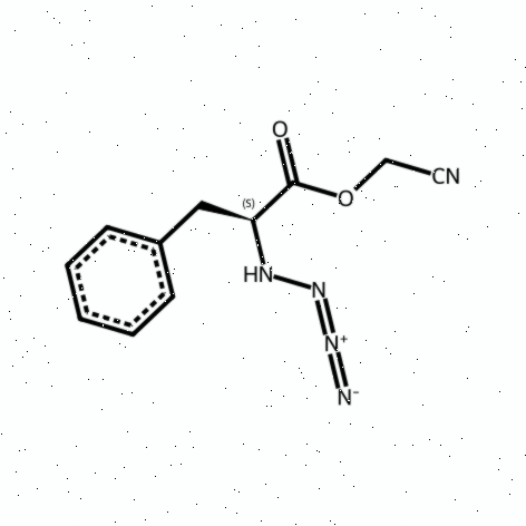 N#CCOC(=O)[C@H](Cc1ccccc1)NN=[N+]=[N-]